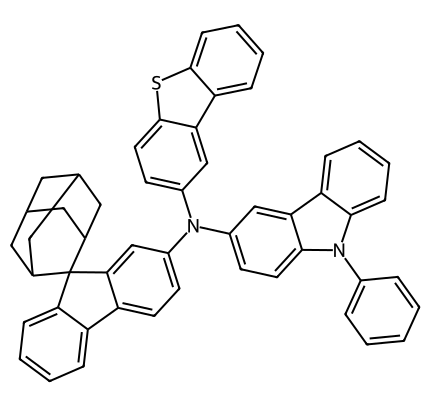 c1ccc(-n2c3ccccc3c3cc(N(c4ccc5c(c4)C4(c6ccccc6-5)C5CC6CC(C5)CC4C6)c4ccc5sc6ccccc6c5c4)ccc32)cc1